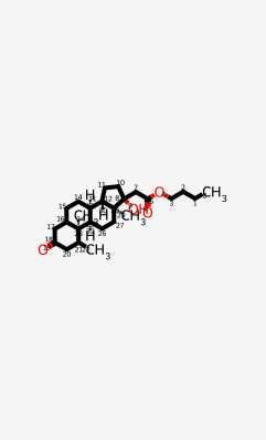 CCCCOC(=O)CC1(O)CC[C@H]2[C@@H]3CCC4CC(=O)CC(C)[C@]4(C)[C@@H]3CC[C@@]21C